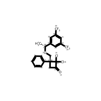 C[C@@H](OC[C@]1(c2ccccc2)CC(=O)C1(Cl)Cl)c1cc(C(F)(F)F)cc(C(F)(F)F)c1